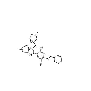 Cc1ccn2c(CC3CN(C)CCO3)c(-c3cc(F)c(SCc4ccccc4)cc3Cl)nc2c1